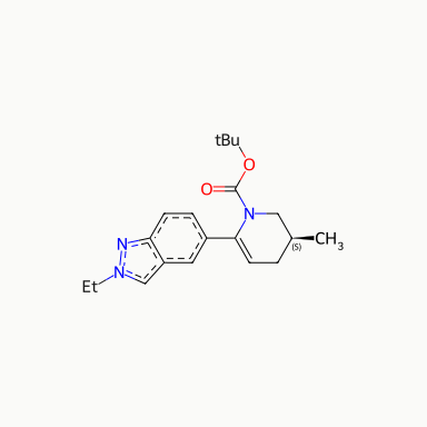 CCn1cc2cc(C3=CC[C@H](C)CN3C(=O)OC(C)(C)C)ccc2n1